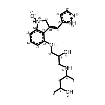 CC(O)CC(C)NCC(O)COc1cccc2c1C(=Cc1ccn[nH]1)C[NH+]2[O-]